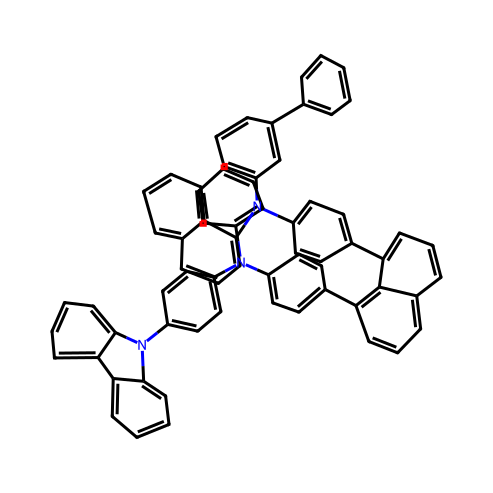 c1ccc(-c2cccc(N(c3ccc(-c4cccc5cccc(-c6ccc(N(c7ccccc7)c7ccc(-n8c9ccccc9c9ccccc98)cc7)cc6)c45)cc3)c3cccc4ccccc34)c2)cc1